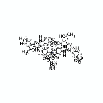 CC(O)CN(CC(C)O)c1nc(Nc2ccc(S(=O)(=O)[O-])cc2)nc(Nc2ccc(/C=C/c3ccc(Nc4nc(Nc5ccc(S(=O)(=O)[O-])cc5)nc(N(CC(C)O)CC(C)O)n4)cc3S(=O)(=O)[O-])c(S(=O)(=O)[O-])c2)n1.[Na+].[Na+].[Na+].[Na+]